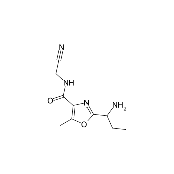 CCC(N)c1nc(C(=O)NCC#N)c(C)o1